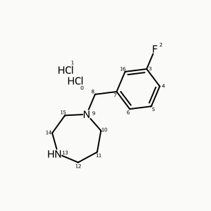 Cl.Cl.Fc1cccc(CN2CCCNCC2)c1